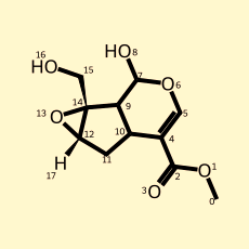 COC(=O)C1=COC(O)C2C1C[C@@H]1O[C@]21CO